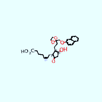 O=C(O)CCC/C=C\C[C@H]1C(=O)C[C@@H](O)[C@@H]1CCC1(COc2ccc3ccccc3c2)OCCO1